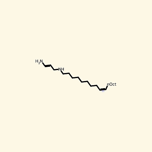 CCCCCCCC/C=C\CCCCCCCCNCC=CN